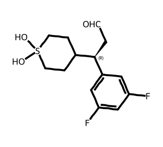 O=CC[C@@H](c1cc(F)cc(F)c1)C1CCS(O)(O)CC1